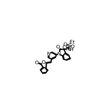 CCS(=O)(=O)NC1(C)C(=O)N(c2cncc(C=C3OC(=O)c4ccccc43)c2)c2ccccc21